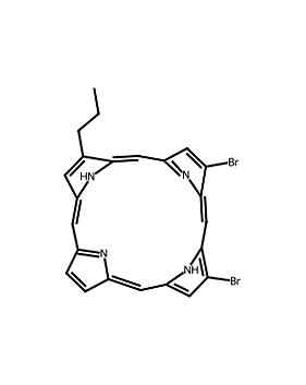 CCCc1cc2cc3nc(cc4cc(Br)c(cc5nc(cc1[nH]2)C=C5Br)[nH]4)C=C3